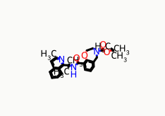 Cc1cc2ccccc2c(C(C)(C)NC(=O)c2cccc3c2OCCN(C(=O)OC(C)(C)C)C3)n1